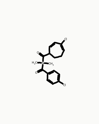 C[Si](C)(C(=O)c1ccc(Cl)cc1)C(=O)C1C=CC(Cl)=CCC1